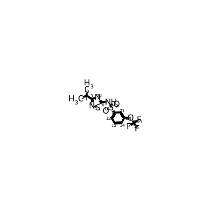 CC(C)c1nsc(NS(=O)(=O)c2cccc(OC(F)(F)F)c2)n1